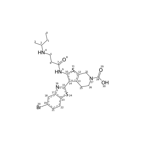 CCC(C)NCCC(=O)Nc1sc2c(c1-c1nc3cc(Br)ccc3s1)CCN(C(=O)O)C2